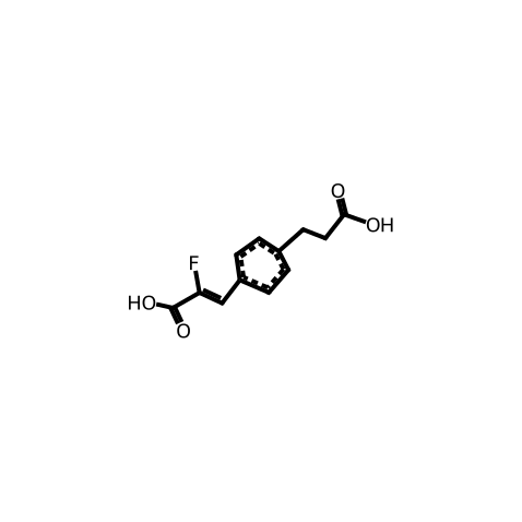 O=C(O)CCc1ccc(C=C(F)C(=O)O)cc1